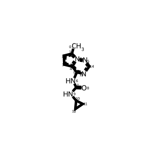 Cc1ccc2c(NC(=O)NC3CC3)ncnn12